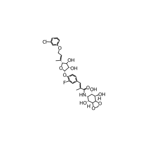 C/C(=C\c1ccc(O[C@@H]2O[C@H](/C(C)=C/COc3cccc(Cl)c3)[C@@H](O)[C@@H]2O)c(F)c1)C(=O)N[C@@H]1[C@H](O)[C@@H](O)[C@H]2OCO[C@H]2[C@@H]1O